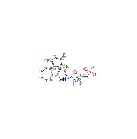 C[C@H](/C=C/S(C)(=O)=O)NC(=O)c1ncc(N2CCCCCC2c2ccc(F)cc2Cl)cc1F